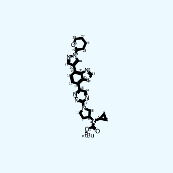 CC(C)(C)OC(=O)N(C1CC1)C1CCN(c2ncc(-c3ccc(-c4cnn(C5CCCCO5)c4)c4ncsc34)nn2)C1